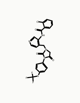 O=C(Nc1cnccc1CN1CC(=O)N(c2ccc(SC(F)(F)F)cc2)C1=O)c1ccccc1Cl